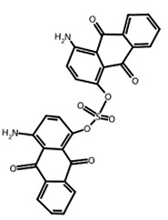 Nc1ccc(OS(=O)(=O)Oc2ccc(N)c3c2C(=O)c2ccccc2C3=O)c2c1C(=O)c1ccccc1C2=O